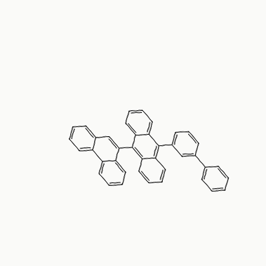 c1ccc(-c2cccc(-c3c4ccccc4c(-c4cc5ccccc5c5ccccc45)c4ccccc34)c2)cc1